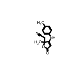 Cc1ccc(NC2=CC(=O)OC2(C)CC#N)cc1